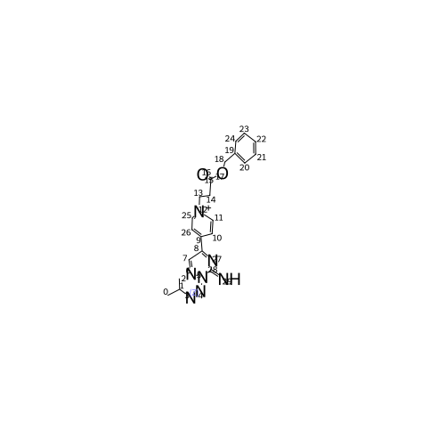 CC(C)/N=N\n1ncc(-c2cc[n+](CCC(=O)OCc3ccccc3)cc2)nc1=N